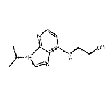 CC(C)n1cnc2c(NCCO)ccnc21